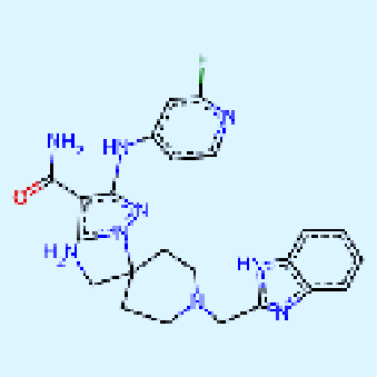 NCC1(n2cc(C(N)=O)c(Nc3ccnc(F)c3)n2)CCN(Cc2nc3ccccc3[nH]2)CC1